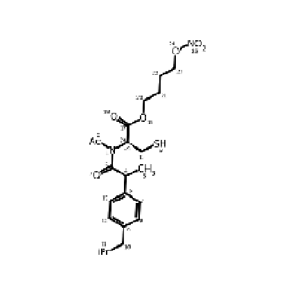 CC(=O)N(C(=O)C(C)c1ccc(CC(C)C)cc1)[C@H](CS)C(=O)OCCCCO[N+](=O)[O-]